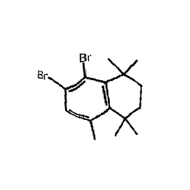 Cc1cc(Br)c(Br)c2c1C(C)(C)CCC2(C)C